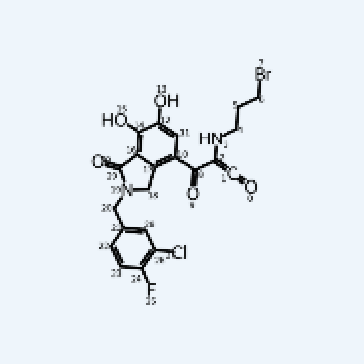 O=C=C(NCCCBr)C(=O)c1cc(O)c(O)c2c1CN(Cc1ccc(F)c(Cl)c1)C2=O